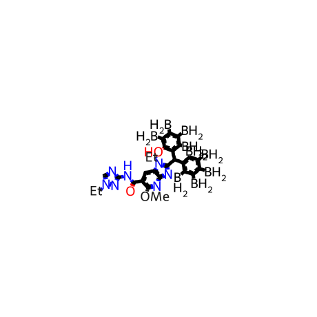 Bc1c(B)c(B)c(C(c2c(B)c(B)c(B)c(B)c2O)c2nc3nc(OC)c(C(=O)Nc4ncn(CC)n4)cc3n2CC)c(B)c1B